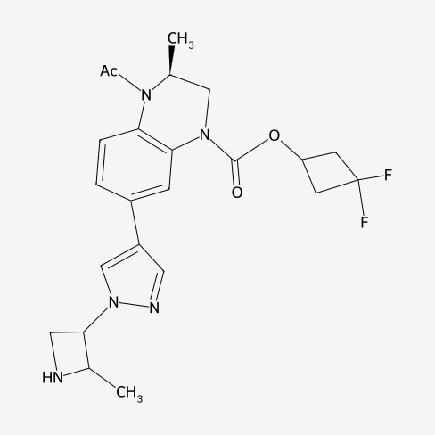 CC(=O)N1c2ccc(-c3cnn(C4CNC4C)c3)cc2N(C(=O)OC2CC(F)(F)C2)C[C@@H]1C